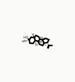 C=C(C)[C@H]1CC[C@H]2[C@@H]3CC[C@H]4C[C@@](O)(CCC)CC[C@@H]4[C@H]3CC[C@]12C